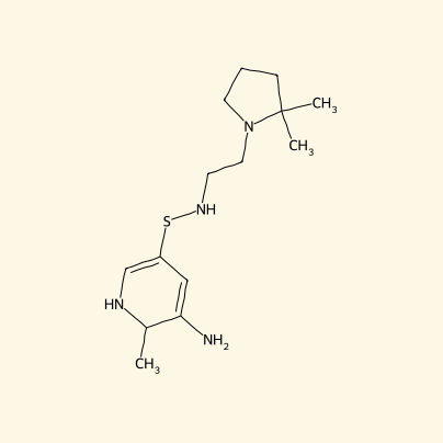 CC1NC=C(SNCCN2CCCC2(C)C)C=C1N